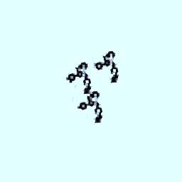 CC(Oc1ccc(C#N)cn1)C1CN(C(=O)C2CCN(C(=O)C3(C)CC3)CC2)CC1c1ccc(Cl)c(Cl)c1.CC(Oc1ccc(Cl)cn1)C1CN(C(=O)C2CCN(C(=O)C3(C)CC3)CC2)CC1c1ccc(F)cc1F.C[C@H](Oc1ccc(Cl)cn1)[C@H]1CN(C(=O)C2CCN(C(=O)C3(C)CC3)CC2)C[C@@H]1c1ccc(Cl)cc1